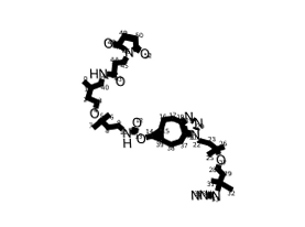 CC(CCOC(C)(C)CCNC(=O)OC1=C2CCc3nnn(CCC(C)(C)OCCC(C)(C)N=[N+]=[N-])c3CCC21)CNC(=O)CCN1C(=O)C=CC1=O